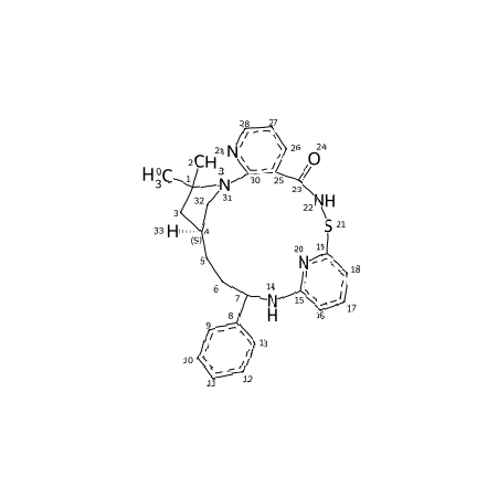 CC1(C)C[C@@H]2CCC(c3ccccc3)Nc3cccc(n3)SNC(=O)c3cccnc3N1C2